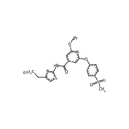 CCOC(=O)Cc1csc(NC(=O)c2cc(Oc3ccc(S(C)(=O)=O)cc3)nc(OC(C)C)c2)n1